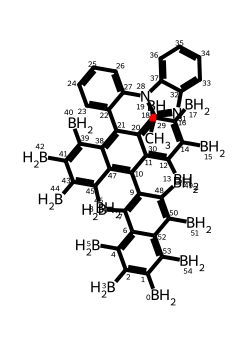 Bc1c(B)c(B)c2c(B)c(-c3c4c(B)c(B)c(B)c(B)c4c(-c4ccccc4-n4c(C)nc5ccccc54)c4c(B)c(B)c(B)c(B)c34)c(B)c(B)c2c1B